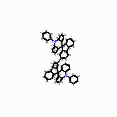 c1ccc(N2c3ccccc3C3(c4ccccc4-c4ccc(-c5ccc6c(c5)C5(c7ccccc7-6)c6ccccc6N(c6ccccc6)c6ccccc65)cc43)c3ccccc32)cc1